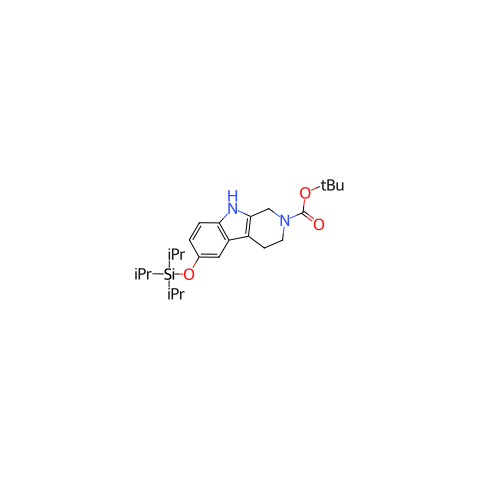 CC(C)[Si](Oc1ccc2[nH]c3c(c2c1)CCN(C(=O)OC(C)(C)C)C3)(C(C)C)C(C)C